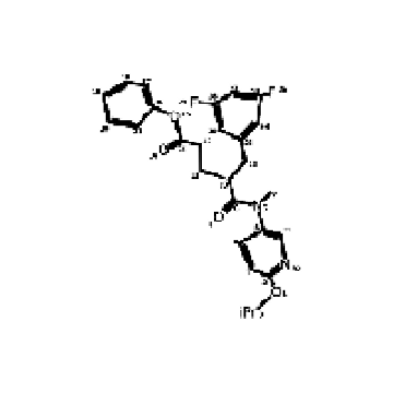 CC(C)Oc1ccc(N(C)C(=O)[C@@H](CCC(=O)Oc2ccccc2)Cc2cc(F)cc(F)c2)cn1